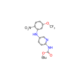 CC(C)(C)OC(=O)Nc1ccc(Nc2cc(OC(F)(F)F)ccc2[N+](=O)[O-])cn1